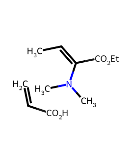 C=CC(=O)O.CC=C(C(=O)OCC)N(C)C